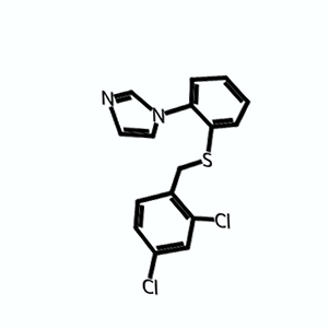 Clc1ccc(CSc2ccccc2-n2ccnc2)c(Cl)c1